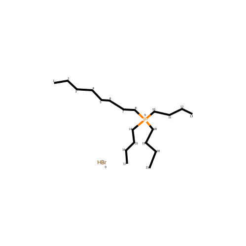 Br.CCCCCCCC[P](CCCC)(CCCC)CCCC